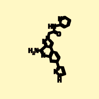 Nc1nc2cc(-c3cc[nH]n3)ccc2c2cn(CC(=O)Nc3ccccn3)nc12